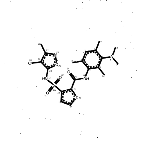 Cc1cc(C)c(N(C)C)c(C)c1NC(=O)c1sccc1S(=O)(=O)Nc1onc(C)c1Cl